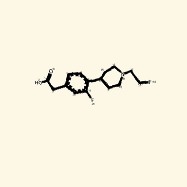 O=C(O)Cc1ccc(C2CCN(CCF)CC2)c(F)c1